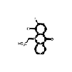 O=C(O)Cn1c2ccccc2c(=O)c2ccc(F)c(Cl)c21